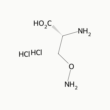 Cl.Cl.NOC[C@@H](N)C(=O)O